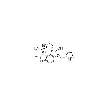 Cc1oc2ccc(OCc3ccnn3C)c(C3(CO)CCNC3=O)c2c1C(N)=O